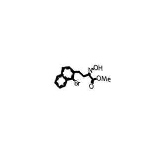 COC(=O)C(CCc1ccc2ccccc2c1Br)=NO